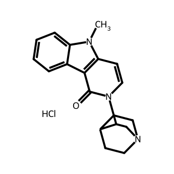 Cl.Cn1c2ccccc2c2c(=O)n(C3CN4CCC3CC4)ccc21